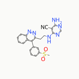 CS(=O)(=O)c1cccc(-c2c(CCNc3ncnc(N)c3C#N)nnc3ccccc23)c1